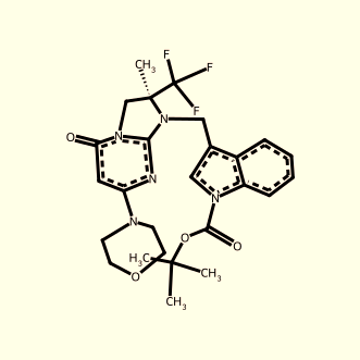 CC(C)(C)OC(=O)n1cc(CN2c3nc(N4CCOCC4)cc(=O)n3C[C@@]2(C)C(F)(F)F)c2ccccc21